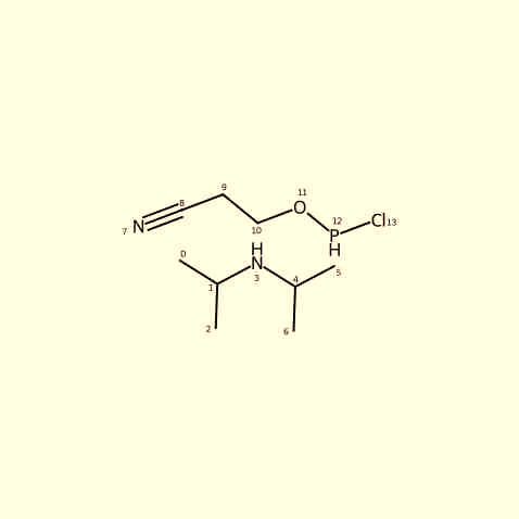 CC(C)NC(C)C.N#CCCOPCl